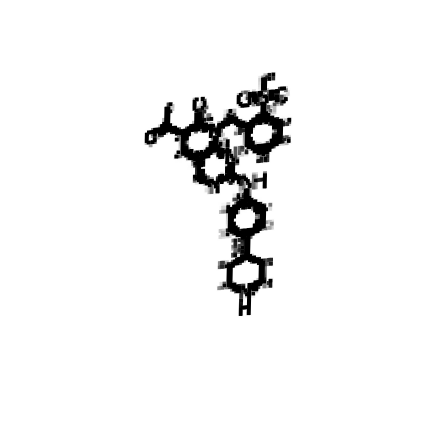 CC(=O)c1cc2cnc(Nc3ccc(C4CCNCC4)cc3)nc2n(Cc2ccccc2S(C)(=O)=O)c1=O